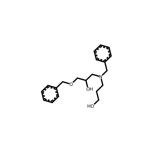 OCCCN(Cc1ccccc1)CC(O)COCc1ccccc1